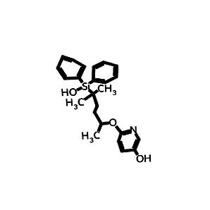 CC(CCC(C)(C)[Si](O)(c1ccccc1)c1ccccc1)Oc1ccc(O)cn1